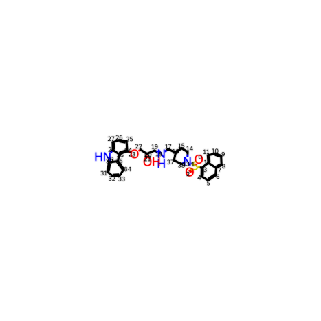 O=S(=O)(c1cccc2ccccc12)N1CCC(CNC[C@H](O)COc2cccc3[nH]c4ccccc4c23)CC1